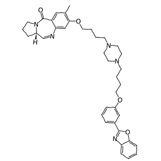 Cc1cc2c(cc1OCCCCN1CCN(CCCCOc3cccc(-c4nc5ccccc5o4)c3)CC1)N=C[C@@H]1CCCN1C2=O